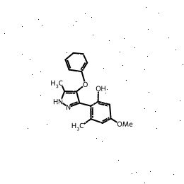 COc1cc(C)c(-c2n[nH]c(C)c2OC2=CCCC=C2)c(O)c1